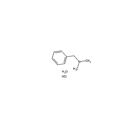 CN(C)Cc1ccccc1.Cl.O